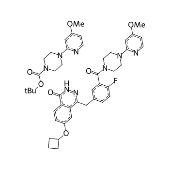 COc1ccnc(N2CCN(C(=O)OC(C)(C)C)CC2)c1.COc1ccnc(N2CCN(C(=O)c3cc(Cc4n[nH]c(=O)c5ccc(OC6CCC6)cc45)ccc3F)CC2)c1